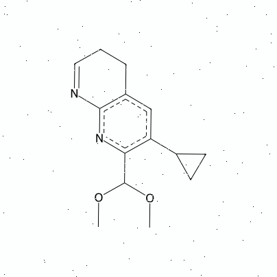 COC(OC)c1nc2c(cc1C1CC1)CCC=N2